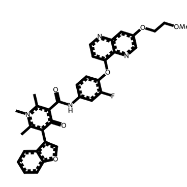 COCCOc1cnc2c(Oc3ccc(NC(=O)c4c(C)n(C)c(C)c(-c5coc6ccccc56)c4=O)cc3F)ccnc2c1